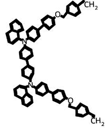 C=Cc1ccc(COc2ccc(-c3ccc(N(c4ccc(-c5ccc(N(c6ccc(-c7ccc(OCc8ccc(C=C)cc8)cc7)cc6)c6cccc7ccccc67)cc5)cc4)c4cccc5ccccc45)cc3)cc2)cc1